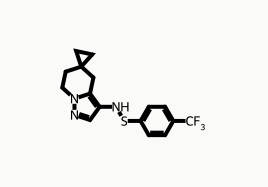 FC(F)(F)c1ccc(SNc2cnn3c2CC2(CC3)CC2)cc1